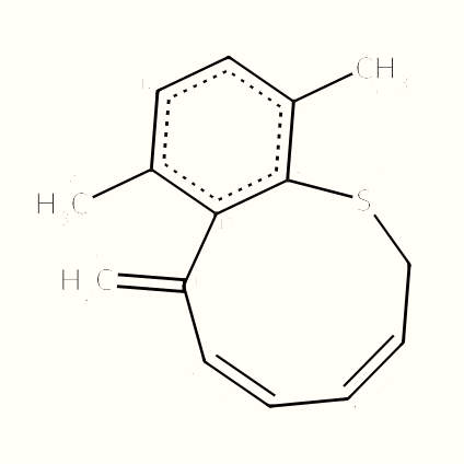 C=C1/C=C\C=C/CSc2c(C)ccc(C)c21